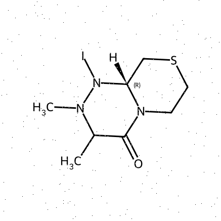 CC1C(=O)N2CCSC[C@H]2N(I)N1C